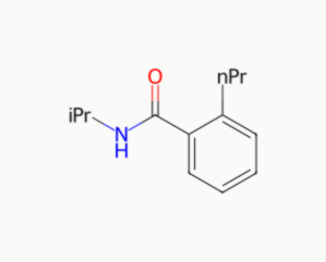 [CH2]CCc1ccccc1C(=O)NC(C)C